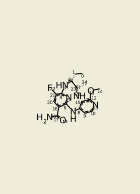 CC[C@@H](Nc1nc(Nc2ccnc(OC)c2)c(C(N)=O)cc1F)[C@H](C)N